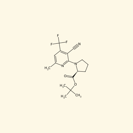 Cc1cc(C(F)(F)F)c(C#N)c(N2CCC[C@H]2C(=O)OC(C)(C)C)n1